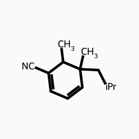 CC(C)CC1(C)C=CC=C(C#N)C1C